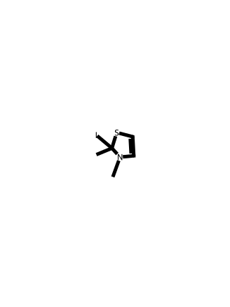 CN1C=CSC1(C)I